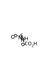 O=C(O)c1ccccc1C=NNc1nc(-c2ccc3ccccc3c2)cs1